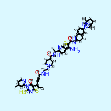 Cc1ccnc(-n2c(S)nc3sc(C)c(C#CC(=O)NCCN4CCC(C(=O)NC(C)c5ccc6c(N)c(C(=O)N[C@H]7CCc8cc(N9C[C@H]%10CC[C@@H](C9)N%10)ccc8C7)sc6n5)CC4)c3c2=O)c1